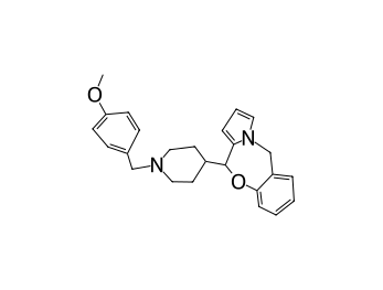 COc1ccc(CN2CCC(C3Oc4ccccc4Cn4cccc43)CC2)cc1